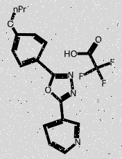 CCCOc1ccc(-c2nnc(-c3cccnc3)o2)cc1.O=C(O)C(F)(F)F